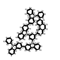 c1ccc(-n2c3ccccc3c3cc(-c4ccc5c6ccccc6n(-c6cc(-c7ncc8ccc9ccccc9c8n7)cc(-n7c8ccccc8c8ccc(-c9ccc%10c(c9)c9ccccc9n%10-c9ccccc9)cc87)c6)c5c4)ccc32)cc1